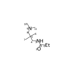 CCC(=O)NCC(C)(C)CN(C)C